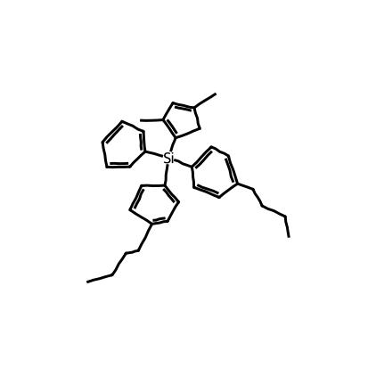 CCCCc1ccc([Si](C2=C(C)C=C(C)C2)(c2ccccc2)c2ccc(CCCC)cc2)cc1